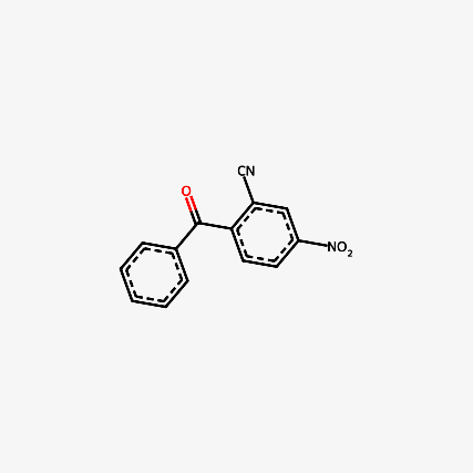 N#Cc1cc([N+](=O)[O-])ccc1C(=O)c1ccccc1